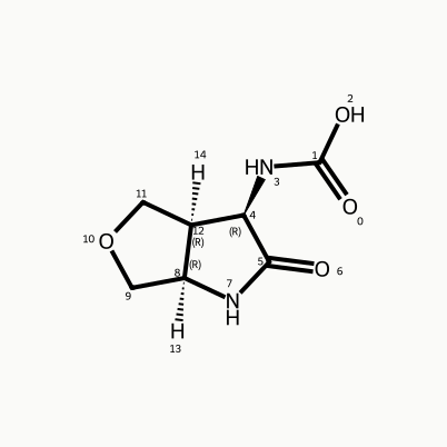 O=C(O)N[C@H]1C(=O)N[C@H]2COC[C@H]21